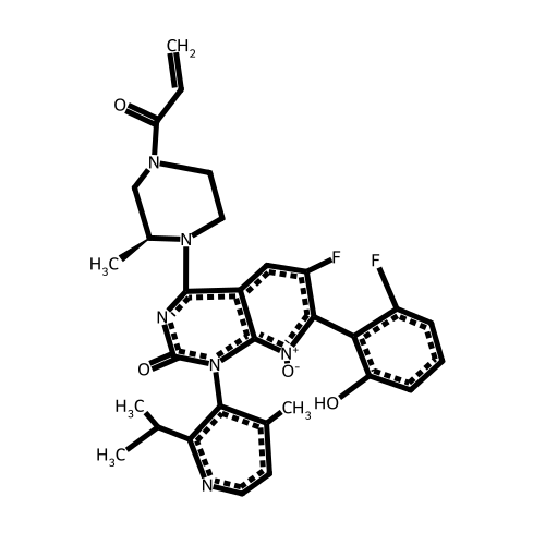 C=CC(=O)N1CCN(c2nc(=O)n(-c3c(C)ccnc3C(C)C)c3c2cc(F)c(-c2c(O)cccc2F)[n+]3[O-])[C@@H](C)C1